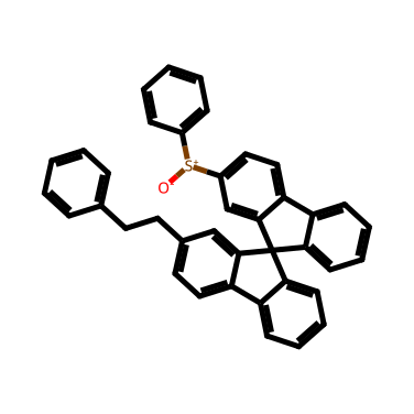 [O-][S+](c1ccccc1)c1ccc2c(c1)C1(c3ccccc3-c3ccc(CCc4ccccc4)cc31)c1ccccc1-2